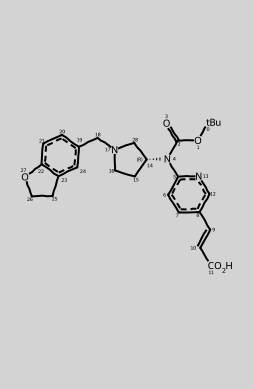 CC(C)(C)OC(=O)N(c1ccc(C=CC(=O)O)cn1)[C@@H]1CCN(Cc2ccc3c(c2)CCO3)C1